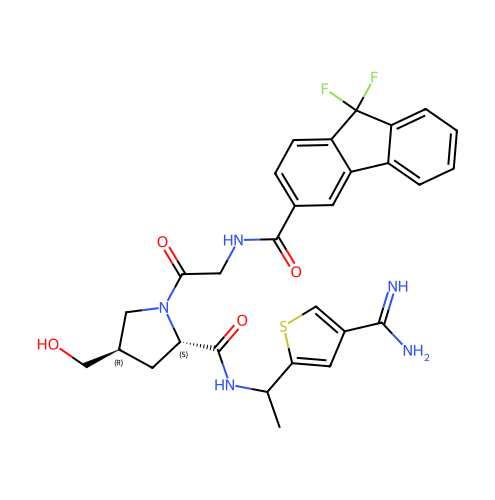 CC(NC(=O)[C@@H]1C[C@@H](CO)CN1C(=O)CNC(=O)c1ccc2c(c1)-c1ccccc1C2(F)F)c1cc(C(=N)N)cs1